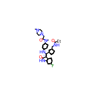 CCC(=O)NCc1cccc(/C(Nc2ccc(N(C)C(=O)CN3CCN(C)CC3)cc2)=C2/C(=O)Nc3cc(F)ccc32)c1